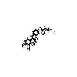 Cc1nc2cc(OC(=O)CN)ccc2cc1C1CCC(=O)NC1=O